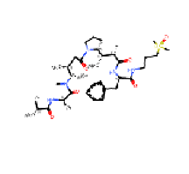 CC[C@@H](C)[C@H]([C@H](CC(=O)N1CCC[C@@H]1[C@@H](OC)[C@H](C)C(=O)N[C@H](Cc1ccccc1)C(=O)NCCC[SH](C)(C)=O)OC)N(C)C(=O)[C@H](NC(=O)[C@H](NC)C(C)C)C(C)C